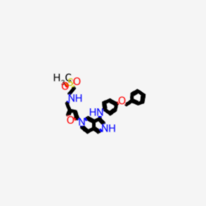 CS(=O)(=O)CCNCc1coc(N2C=CC3=CNC=C(Nc4ccc(OCc5ccccc5)cc4)C3=C2)c1